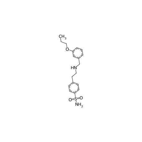 CCCOc1cccc(CNCCc2ccc(S(N)(=O)=O)cc2)c1